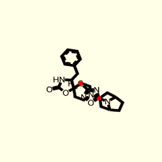 Cc1noc(N2C3CCC2CC(N2CCC4(CC2)OC(=O)NC4Cc2ccccc2)C3)n1